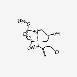 C=C(CCl)C[C@@]1(C(=O)OC)C[C@H](O)CN1C(=O)OC(C)(C)C